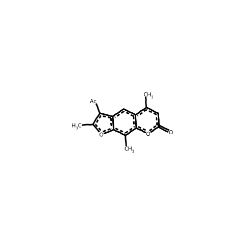 CC(=O)c1c(C)oc2c(C)c3oc(=O)cc(C)c3cc12